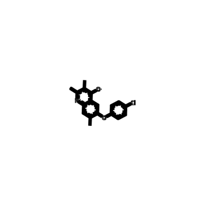 Cc1cc2nc(C)c(C)c([O])c2cc1Oc1ccc(Cl)cc1